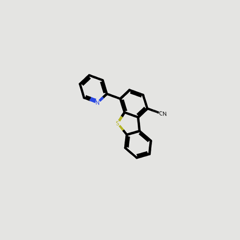 N#Cc1ccc(-c2ccccn2)c2sc3ccccc3c12